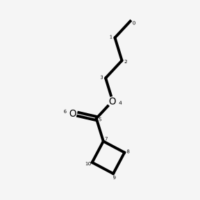 CCCCOC(=O)C1CCC1